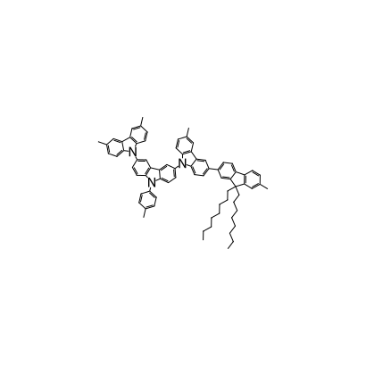 CCCCCCCCC1(CCCCCCCC)c2cc(C)ccc2-c2ccc(-c3ccc4c(c3)c3cc(C)ccc3n4-c3ccc4c(c3)c3cc(-n5c6ccc(C)cc6c6cc(C)ccc65)ccc3n4-c3ccc(C)cc3)cc21